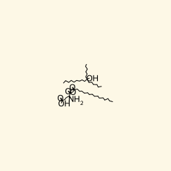 CCCCCCCCCC(O)(CCCCCC)CCCCCC.CCCCCCCCCCCCCCCC(=O)OC(=O)C(N)CCC(=O)O